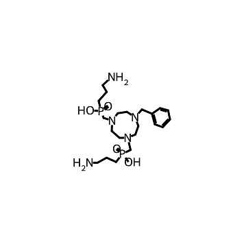 NCCCP(=O)(O)CN1CCN(Cc2ccccc2)CCN(CP(=O)(O)CCCN)CC1